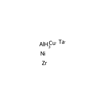 [AlH3].[Cu].[Ni].[Ta].[Zr]